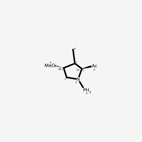 CO[C@H]1CN(P)[C@H](C(C)=O)C1C